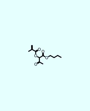 C=C(C)C(=O)OC(C(C)=O)C(=O)OCCCC